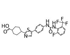 O=C(Nc1ccc(-c2cnc(C3CCC(C(=O)O)CC3)s2)cc1)Nc1c(F)cccc1C(F)(F)F